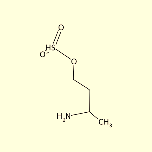 CC(N)CCO[SH](=O)=O